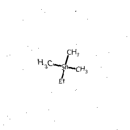 C[CH2][Sn]([CH3])([CH3])[CH3]